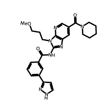 COCCCn1c(NC(=O)c2cccc(-c3cc[nH]n3)c2)nc2cc(C(=O)N3CCCCC3)cnc21